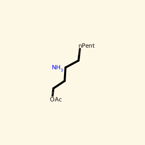 CCCCCCCCCOC(C)=O.N